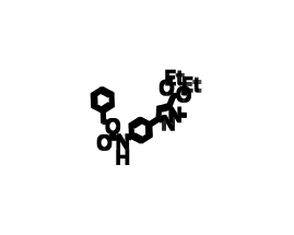 CCOC(OCC)c1cc(-c2ccc(NC(=O)OCc3ccccc3)cc2)nn1C